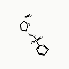 O=C[C@H]1CC[C@@H](COS(=O)(=O)c2ccccc2)O1